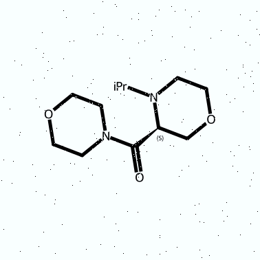 CC(C)N1CCOC[C@H]1C(=O)N1CCOCC1